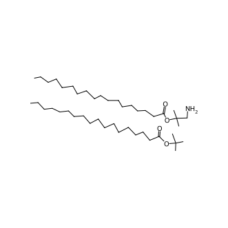 CCCCCCCCCCCCCCCCCC(=O)OC(C)(C)C.CCCCCCCCCCCCCCCCCC(=O)OC(C)(C)CN